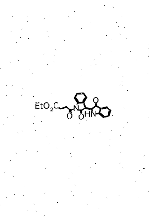 CCOC(=O)CCC(=O)N1C(=O)/C(=C2\Nc3ccccc3C2=O)c2ccccc21